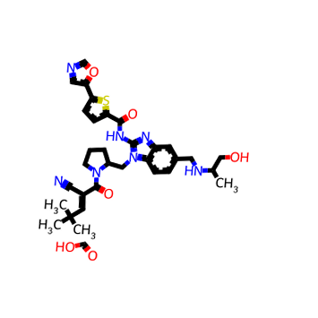 CC(CO)NCc1ccc2c(c1)nc(NC(=O)c1ccc(-c3cnco3)s1)n2CC1CCCN1C(=O)C(C#N)=CC(C)(C)C.O=CO